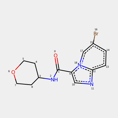 O=C(NC1CCOCC1)c1cnc2ccc(Br)cn12